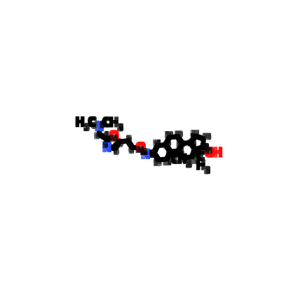 CN(C)Cc1ncc(CCON=C2CC[C@@]3(C)C(CCC4C3CC[C@@]3(C)C4CC[C@@H]3O)C2)o1